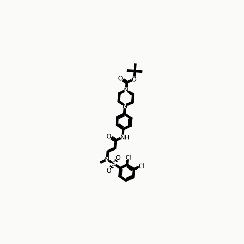 CN(CCC(=O)Nc1ccc(N2CCN(C(=O)OC(C)(C)C)CC2)cc1)S(=O)(=O)c1cccc(Cl)c1Cl